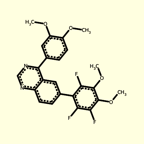 COc1ccc(-c2ncnc3ccc(-c4c(F)c(F)c(OC)c(OC)c4F)cc23)cc1OC